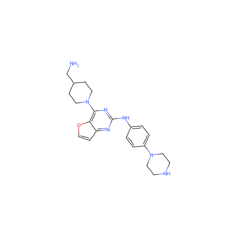 NCC1CCN(c2nc(Nc3ccc(N4CCNCC4)cc3)nc3ccoc23)CC1